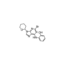 Oc1ccccc1Nc1nc(Br)nc2c1ncn2C1CCCCO1